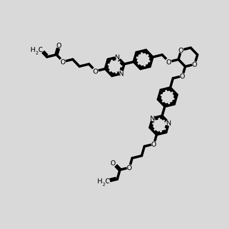 C=CC(=O)OCCCOc1cnc(-c2ccc(COC3OCCOC3OCc3ccc(-c4ncc(OCCCOC(=O)C=C)cn4)cc3)cc2)nc1